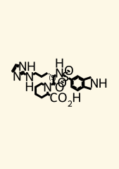 O=C(O)C1CCCCN1C(=O)[C@H](CCCNc1ncc[nH]1)NS(=O)(=O)c1ccc2c(c1)CNC2